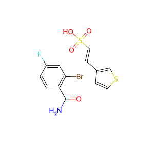 NC(=O)c1ccc(F)cc1Br.O=S(=O)(O)/C=C/c1ccsc1